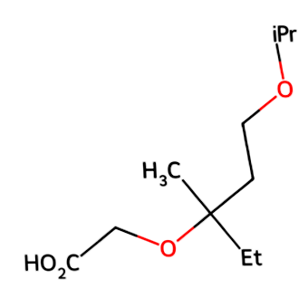 CCC(C)(CCOC(C)C)OCC(=O)O